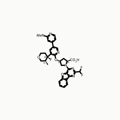 CNc1cc(-c2cnc(O[C@H]3C[C@@H](C(=O)O)N(c4nc(C(F)F)nc5c4oc4ccccc45)C3)c([C@@]3(F)CCOC[C@@H]3C)c2)ccn1